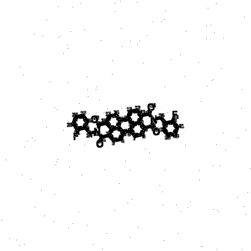 O=C1c2ccc3c4ccc5c6c(ccc(c7ccc(c2c37)C(=O)N1Cc1ccccc1F)c64)C(=O)N(Cc1ccccc1F)C5=O